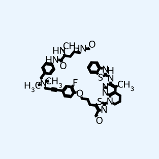 CNC(CCCNC=O)C(=O)Nc1ccc(C[N+](C)(C)CC#Cc2ccc(OCCCc3sc(N4CCCc5c4nnc(Nc4nc6ccccc6s4)c5C)nc3C=O)c(F)c2)cc1